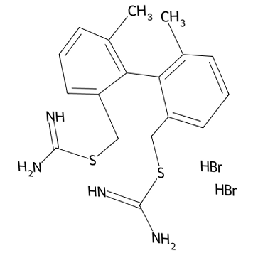 Br.Br.Cc1cccc(CSC(=N)N)c1-c1c(C)cccc1CSC(=N)N